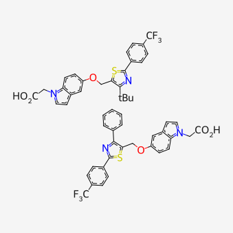 CC(C)(C)c1nc(-c2ccc(C(F)(F)F)cc2)sc1COc1ccc2c(ccn2CC(=O)O)c1.O=C(O)Cn1ccc2cc(OCc3sc(-c4ccc(C(F)(F)F)cc4)nc3-c3ccccc3)ccc21